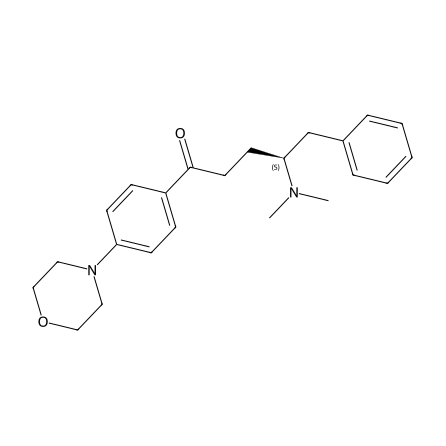 CN(C)[C@@H](CCC(=O)c1ccc(N2CCOCC2)cc1)Cc1ccccc1